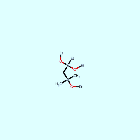 CCO[Si](C)(C)C[Si](CC)(OCC)OCC